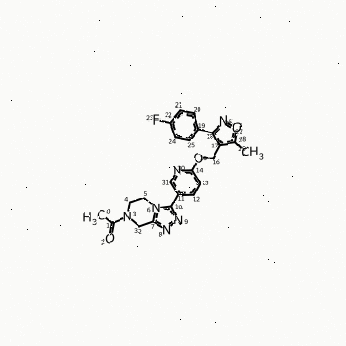 CC(=O)N1CCn2c(nnc2-c2ccc(OCc3c(-c4ccc(F)cc4)noc3C)nc2)C1